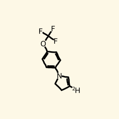 [2H]C1=CN(c2ccc(OC(F)(F)F)cc2)CC1